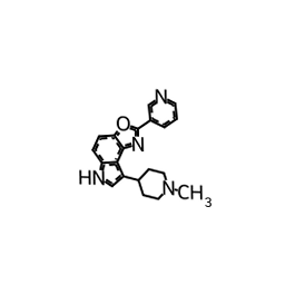 CN1CCC(c2c[nH]c3ccc4oc(-c5cccnc5)nc4c23)CC1